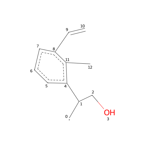 [CH2]C(CO)c1cccc(C=C)c1C